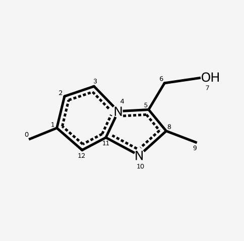 Cc1ccn2c(CO)c(C)nc2c1